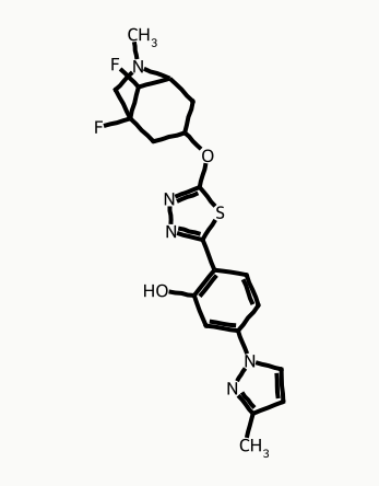 Cc1ccn(-c2ccc(-c3nnc(OC4CC5C(F)C(F)(C4)CN5C)s3)c(O)c2)n1